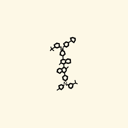 Cc1ccc(N(c2ccc(-c3cc(C)c(-c4c(C)cc(-c5ccc(N(c6ccc(-c7ccccc7)cc6)c6cccc(C(C)(C)C)c6)cc5)c5ccccc45)c4ccccc34)cc2)c2cccc(C(C)C)c2)cc1